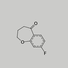 O=C1CCCOc2cc(F)ccc21